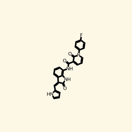 O=C1Nc2c(NC(=O)c3cccn(-c4ccc(F)cc4)c3=O)cccc2C1=Cc1ccc[nH]1